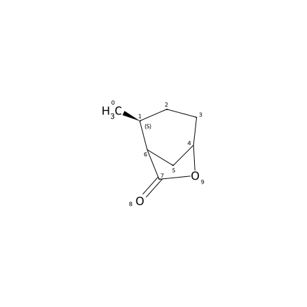 C[C@H]1CCC2CC1C(=O)O2